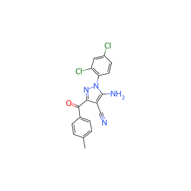 Cc1ccc(C(=O)c2nn(-c3ccc(Cl)cc3Cl)c(N)c2C#N)cc1